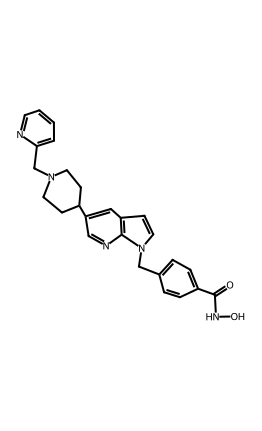 O=C(NO)c1ccc(Cn2ccc3cc(C4CCN(Cc5ccccn5)CC4)cnc32)cc1